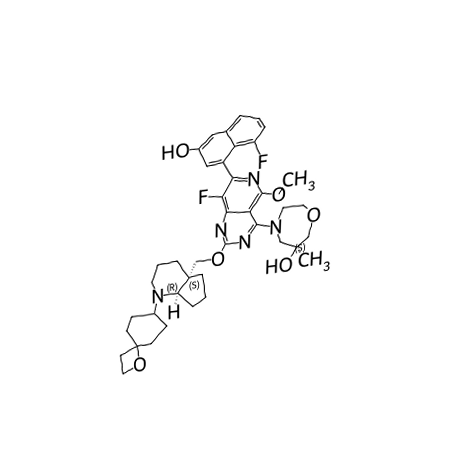 COc1nc(-c2cc(O)cc3cccc(F)c23)c(F)c2nc(OC[C@]34CCC[C@H]3N(C3CCC5(CCO5)CC3)CCC4)nc(N3CCOC[C@@](C)(O)C3)c12